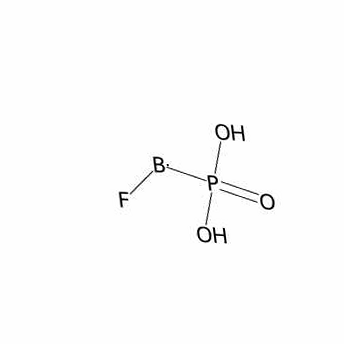 O=P(O)(O)[B]F